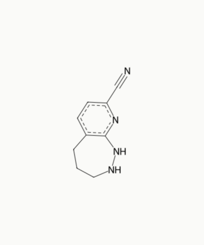 N#Cc1ccc2c(n1)NNCCC2